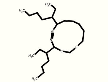 CCCCC(CC)C1CCCCCCCCC(C(CC)CCCC)N=N1